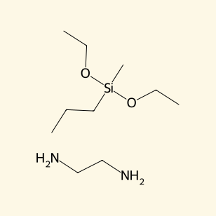 CCC[Si](C)(OCC)OCC.NCCN